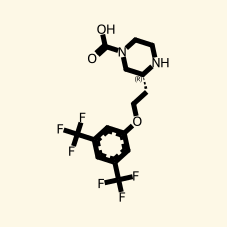 O=C(O)N1CCN[C@H](CCOc2cc(C(F)(F)F)cc(C(F)(F)F)c2)C1